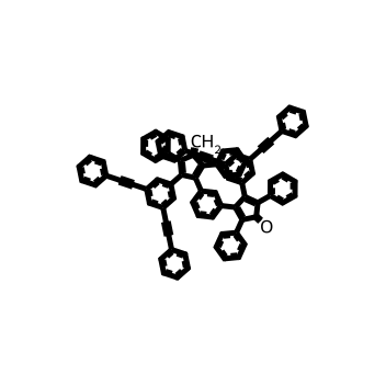 C=C1C(c2ccccc2)=C(c2cc(C#Cc3ccccc3)cc(C#Cc3ccccc3)c2)C(c2cccc(C3=C(c4ccccc4)C(=O)C(c4ccccc4)=C3c3cc(C#Cc4ccccc4)cc(C#Cc4ccccc4)c3)c2)=C1c1ccccc1